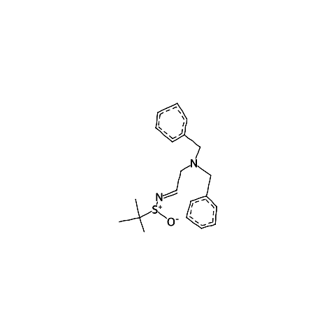 CC(C)(C)[S+]([O-])/N=C/CN(Cc1ccccc1)Cc1ccccc1